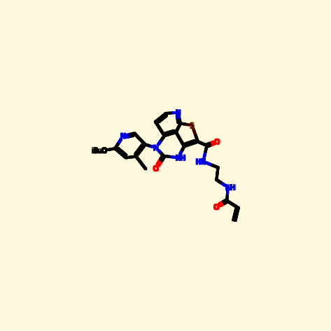 C=CC(=O)NCCNC(=O)c1sc2nccc3c2c1NC(=O)N3c1cnc(OCC(C)C)cc1C